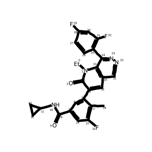 CCn1c(=O)c(-c2cc(C(=O)NC3CC3)cc(F)c2C)cc2cnnc(-c3ccc(F)cc3F)c21